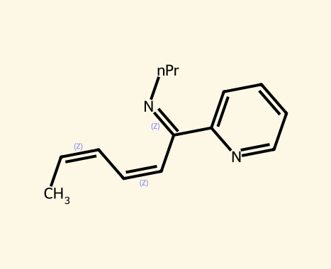 C\C=C/C=C\C(=N\CCC)c1ccccn1